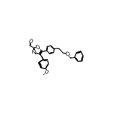 COc1ccc(-c2nc(C=O)oc2-c2ccc(CCOCc3ccccc3)cc2)cc1